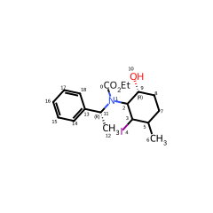 CCOC(=O)N(C1C(I)C(C)CC[C@H]1O)[C@H](C)c1ccccc1